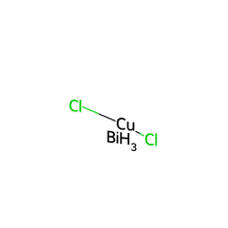 [BiH3].[Cl][Cu][Cl]